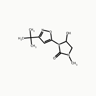 CN1CC(O)N(c2cc(C(C)(C)C)no2)C1=O